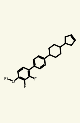 CCOc1ccc(-c2ccc(C3CCC(C4CC=CC4)CC3)cc2)c(F)c1F